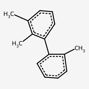 Cc1ccccc1-c1cccc(C)c1C